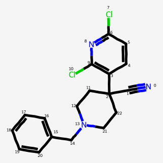 N#CC1(c2ccc(Cl)nc2Cl)CCN(Cc2ccccc2)CC1